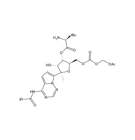 CC(=O)OCOC(=O)OC[C@H]1O[C@@](C)(c2ccc3c(NC(=O)C(C)C)ncnn23)[C@H](O)[C@@H]1OC(=O)[C@@H](N)C(C)(C)C